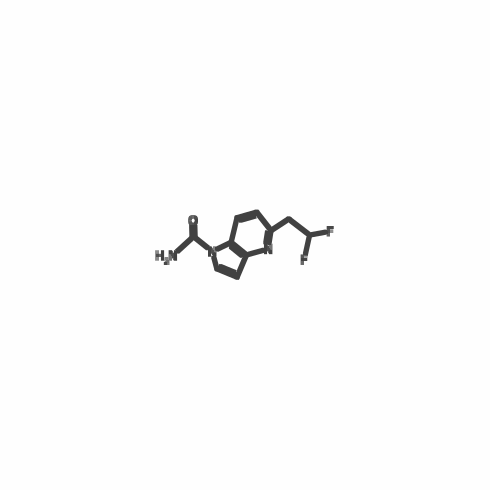 NC(=O)n1ccc2nc(CC(F)F)ccc21